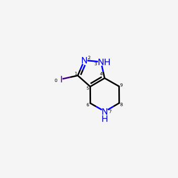 Ic1n[nH]c2c1CNCC2